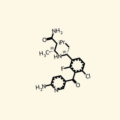 CC(C)C[C@@H](N[C@H](C)CC(N)=O)c1ccc(Cl)c(C(=O)c2ccc(N)nc2)c1F